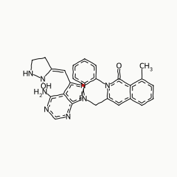 Cc1cccc2cc(Cn3nc(/C=C4/CCNN4O)c4c(N)ncnc43)n(-c3ccccc3F)c(=O)c12